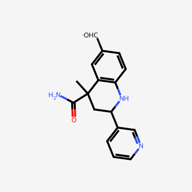 CC1(C(N)=O)CC(c2cccnc2)Nc2ccc([C]=O)cc21